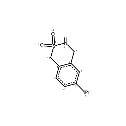 CC(C)c1ccc2c(c1)CNS(=O)(=O)C2